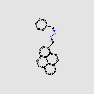 C(=N/N=C/c1ccc2ccc3cccc4ccc1c2c34)/c1ccccc1